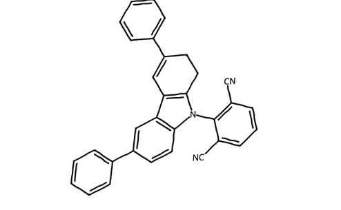 N#Cc1cccc(C#N)c1-n1c2c(c3cc(-c4ccccc4)ccc31)C=C(c1ccccc1)CC2